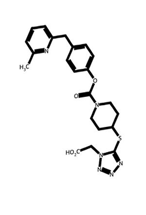 Cc1cccc(Cc2ccc(OC(=O)N3CCC(Sc4nnnn4CC(=O)O)CC3)cc2)n1